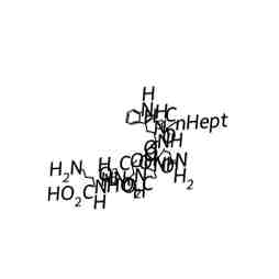 CCCCCCCC(C)C(=O)NC(Cc1c[nH]c2ccccc12)C(=O)NC(CC(N)=O)C(=O)NC(CC(=O)O)C(=O)NC(C(=O)NCC(=O)NC(CCCN)C(=O)O)C(C)O